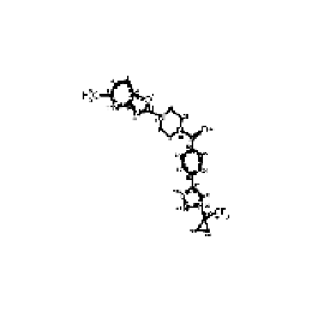 Cc1ccc2oc(N3CCN(C(=O)c4ccc(-c5cn(C6(C(F)(F)F)CC6)nn5)cc4)CC3)nc2n1